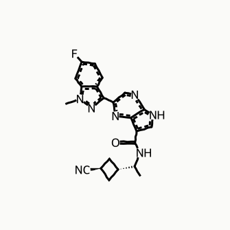 CC(NC(=O)c1c[nH]c2ncc(-c3nn(C)c4cc(F)ccc34)nc12)[C@H]1C[C@H](C#N)C1